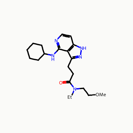 CCN(CCOC)C(=O)CCc1n[nH]c2ccnc(NC3CCCCC3)c12